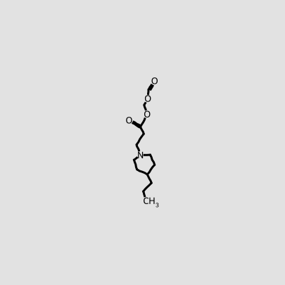 CCCC1CCN(CCC(=O)OCOC=O)CC1